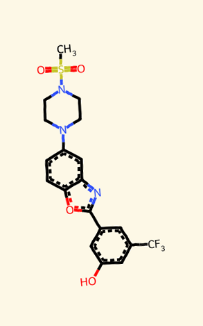 CS(=O)(=O)N1CCN(c2ccc3oc(-c4cc(O)cc(C(F)(F)F)c4)nc3c2)CC1